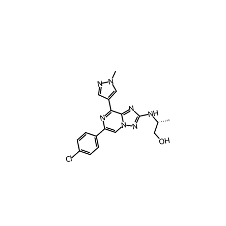 C[C@H](CO)Nc1nc2c(-c3cnn(C)c3)nc(-c3ccc(Cl)cc3)cn2n1